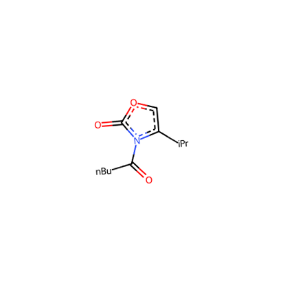 CCCCC(=O)n1c(C(C)C)coc1=O